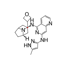 Cc1cc(Nc2cc3ncccc3c(N[C@@H]3CC4CC[C@@H](C3)N4CC3COC3)n2)n[nH]1